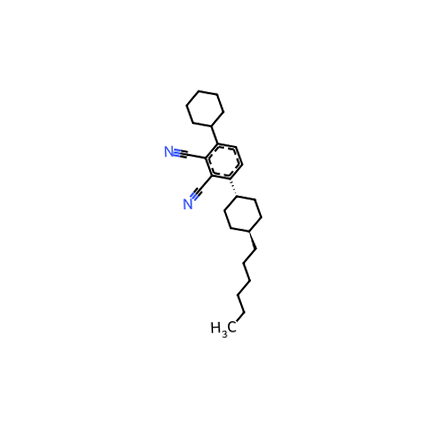 CCCCCC[C@H]1CC[C@H](c2ccc(C3CCCCC3)c(C#N)c2C#N)CC1